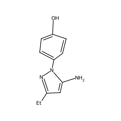 CCc1cc(N)n(-c2ccc(O)cc2)n1